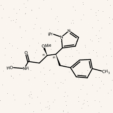 CO[C@H](CC(=O)NO)[C@H](Cc1ccc(C)cc1)c1ccnn1C(C)C